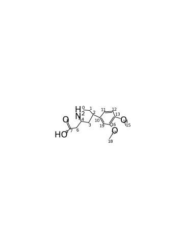 CCC(CC(N)CC(=O)O)c1ccc(OC)c(OC)c1